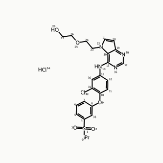 CC(C)S(=O)(=O)c1cccc(Oc2ccc(Nc3ncnc4ccn(CCOCCO)c34)cc2Cl)c1.Cl